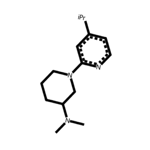 CC(C)c1ccnc(N2CCCC(N(C)C)C2)c1